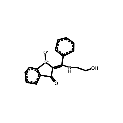 O=C1C(=C(NCCO)c2ccccc2)[S+]([O-])c2ccccc21